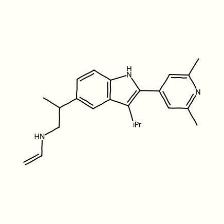 C=CNCC(C)c1ccc2[nH]c(-c3cc(C)nc(C)c3)c(C(C)C)c2c1